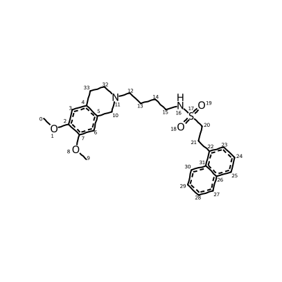 COc1cc2c(cc1OC)CN(CCCCNS(=O)(=O)CCc1cccc3ccccc13)CC2